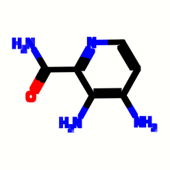 NC(=O)c1nccc(N)c1N